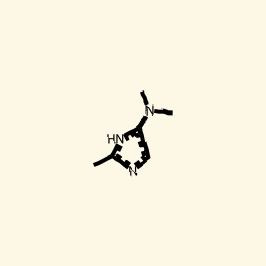 Cc1ncc(N(C)C)[nH]1